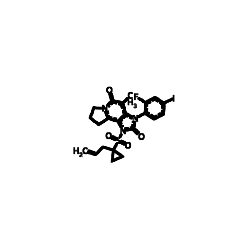 C=CCC1(S(=O)(=O)n2c(=O)n(-c3ccc(I)cc3F)c3c(C)c(=O)n4c(c32)CCC4)CC1